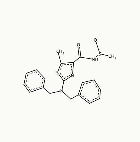 Cc1sc(N(Cc2ccccc2)Cc2ccccc2)nc1C(=O)N[S+](C)[O-]